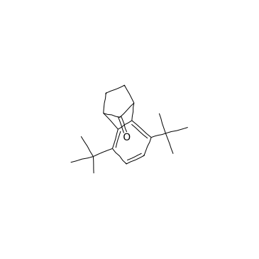 CC(C)(C)c1ccc(C(C)(C)C)c2c1C1CCC2C1=O